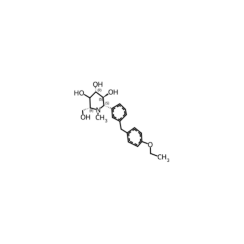 CCOc1ccc(Cc2cccc([C@H]3[C@H](O)[C@@H](O)C(O)[C@@H](CO)N3C)c2)cc1